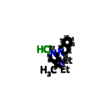 CCc1c(C)c2ccnc(N3CCc4ccccc4C3)c2n1CC.Cl